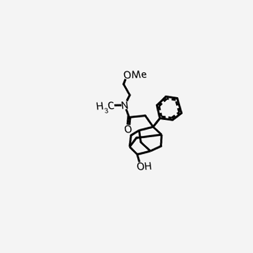 COCCN(C)C(=O)CC1(c2ccccc2)C2CC3CC1CC(C2)C3O